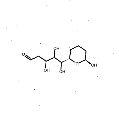 O=CC[C@H](O)C(O)C(O)[C@@H]1CCC[C@@H](O)O1